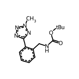 Cn1nnc(-c2ccccc2CNC(=O)OC(C)(C)C)n1